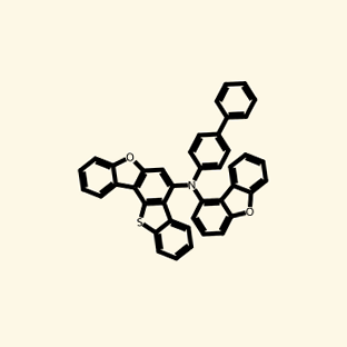 c1ccc(-c2ccc(N(c3cccc4oc5ccccc5c34)c3cc4oc5ccccc5c4c4sc5ccccc5c34)cc2)cc1